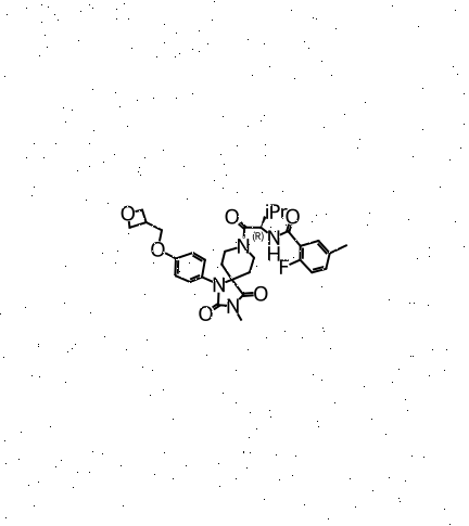 Cc1ccc(F)c(C(=O)N[C@@H](C(=O)N2CCC3(CC2)C(=O)N(C)C(=O)N3c2ccc(OCC3COC3)cc2)C(C)C)c1